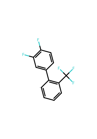 Fc1ccc(-c2[c]cccc2C(F)(F)F)cc1F